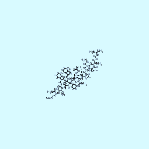 CSCC[C@H](NC(=O)C(CC(C)C)NC(=O)[C@@H](Cc1c[nH]c2ccccc12)NC(=O)[C@H](Cc1ccccc1)NC(=O)[C@@H](Cc1c[nH]c2ccccc12)NC(=O)C(CCC(N)=O)NC(=O)[C@H](CCC(N)=O)NC(=O)[C@@H]1CCCN1C(=O)[C@H](CCCCN)NC(=O)[C@H]1CCCN1C(=O)[C@@H](N)CCCN=C(N)N)C(N)=O